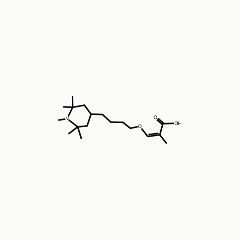 CC(=COCCCCC1CC(C)(C)N(C)C(C)(C)C1)C(=O)O